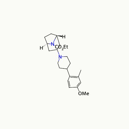 CCOC(=O)N1[C@@H]2CC[C@@H]1CC(N1CCC(c3ccc(OC)cc3C)CC1)C2